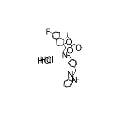 COCC(=O)O[C@]1(CCN(C)Cc2ccc(Cc3nc4ccccc4n3C)cc2)CCc2cc(F)ccc2[C@@H]1C(C)C.Cl.Cl